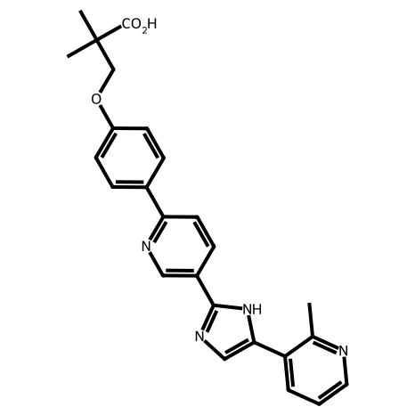 Cc1ncccc1-c1cnc(-c2ccc(-c3ccc(OCC(C)(C)C(=O)O)cc3)nc2)[nH]1